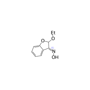 CCOC1Oc2ccccc2/C1=N\O